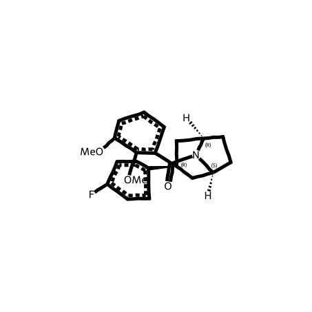 COc1cccc(C(=O)N2[C@@H]3CC[C@H]2C[C@@H](c2ccc(F)cc2)C3)c1OC